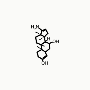 C[C@]12CCC(O)=CC1CC(O)[C@@H]1[C@H]2CC[C@]2(C)C(N)=CC[C@@H]12